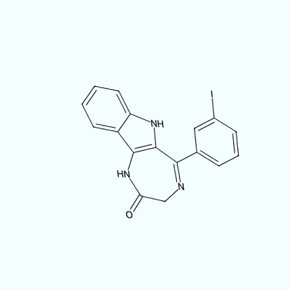 O=C1CN=C(c2cccc(I)c2)c2[nH]c3ccccc3c2N1